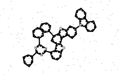 c1ccc(-c2nc(-c3ccccc3)nc(-c3cccc4oc5c(cc(-c6ccccc6)c6oc7cc(-n8c9ccccc9c9ccccc98)ccc7c65)c34)n2)cc1